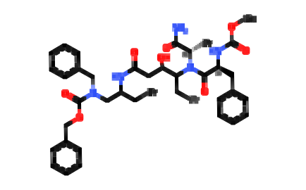 CC(C)CC(CN(Cc1ccccc1)C(=O)OCc1ccccc1)NC(=O)CC(O)C(CC(C)C)N(C(=O)[C@H](Cc1ccccc1)NC(=O)OC(C)(C)C)[C@H](C(N)=O)C(C)C